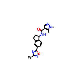 CCc1noc(-c2ccc3c(c2)CCC3NC(=O)c2cnn(C)c2C)n1